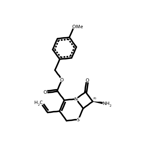 C=CC1=C(C(=O)OCc2ccc(OC)cc2)N2C(=O)[C@@H](N)C2SC1